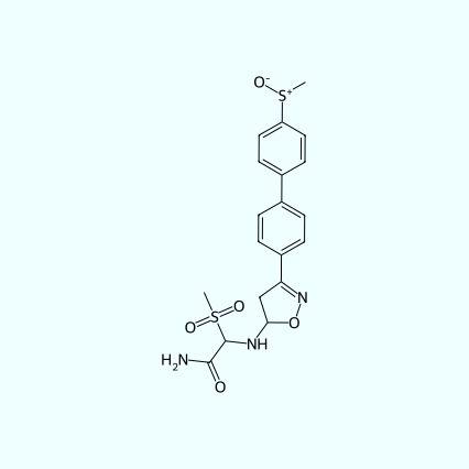 C[S+]([O-])c1ccc(-c2ccc(C3=NOC(NC(C(N)=O)S(C)(=O)=O)C3)cc2)cc1